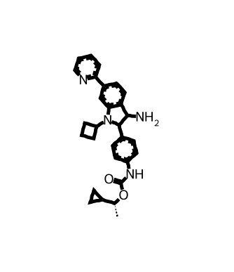 C[C@@H](OC(=O)Nc1ccc(C2C(N)c3ccc(-c4ccccn4)cc3N2C2CCC2)cc1)C1CC1